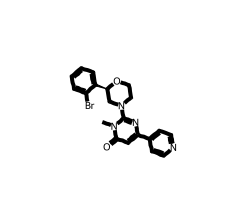 Cn1c(N2CCO[C@H](c3ccccc3Br)C2)nc(-c2ccncc2)cc1=O